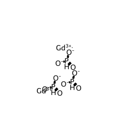 O=[PH]([O-])[O-].O=[PH]([O-])[O-].O=[PH]([O-])[O-].[Gd+3].[Gd+3]